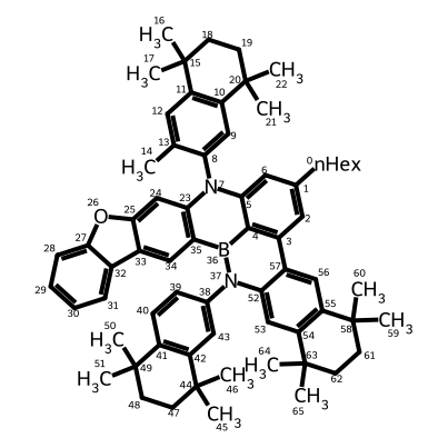 CCCCCCc1cc2c3c(c1)N(c1cc4c(cc1C)C(C)(C)CCC4(C)C)c1cc4oc5ccccc5c4cc1B3N(c1ccc3c(c1)C(C)(C)CCC3(C)C)c1cc3c(cc1-2)C(C)(C)CCC3(C)C